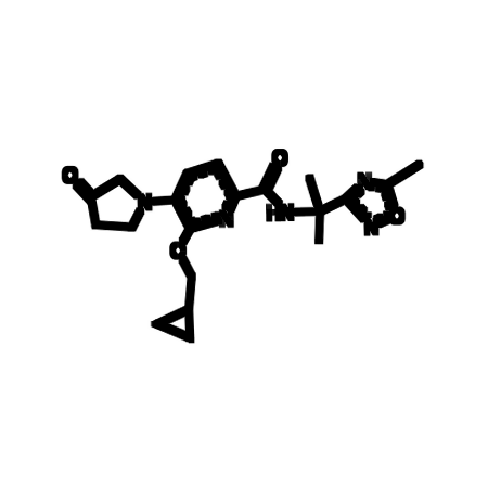 Cc1nc(C(C)(C)NC(=O)c2ccc(N3CCC(=O)C3)c(OCC3CC3)n2)no1